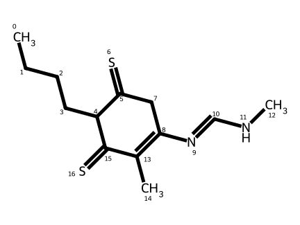 CCCCC1C(=S)CC(N=CNC)=C(C)C1=S